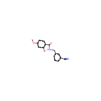 COc1ccc(C(=O)NCc2cccc(C#N)c2)c(Br)c1